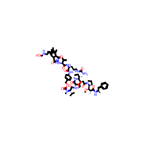 CC[C@H](C)[C@@H]([C@@H](CC(=O)N1CCC[C@H]1[C@H](OC)[C@@H](C)C(=O)N[C@H](C)Cc1ccccc1)OC)N(C)C(=O)[C@@H](NC(=O)[C@H](C(C)C)N(C)C(=O)OCc1ccc(NC(=O)[C@H](CCCNC(N)=O)NC(=O)[C@@H](NN2C(=O)C3C4C(C)=C(C)C(C)(C3C2=O)C4(C)CCNCO)C(C)C)cc1)C(C)C